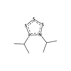 CC(C)n1sssp1C(C)C